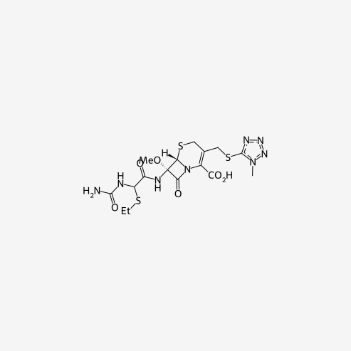 CCSC(NC(N)=O)C(=O)N[C@]1(OC)C(=O)N2C(C(=O)O)=C(CSc3nnnn3C)CS[C@H]21